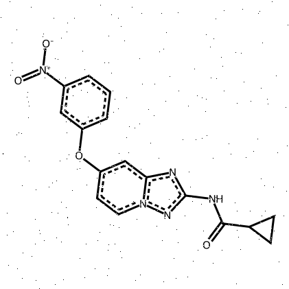 O=C(Nc1nc2cc(Oc3cccc([N+](=O)[O-])c3)ccn2n1)C1CC1